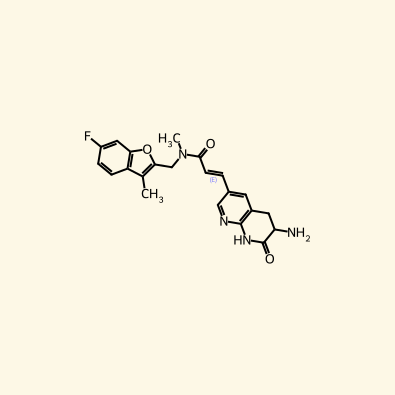 Cc1c(CN(C)C(=O)/C=C/c2cnc3c(c2)CC(N)C(=O)N3)oc2cc(F)ccc12